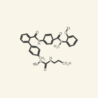 CC(C)(C)OC(=O)NCCC(=O)O.CCOc1ccccc1N(C)C(=O)c1ccc(NC(=O)c2ccccc2-c2ccc(C)cc2)cc1